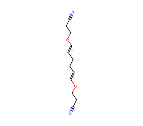 N#CCCO/C=C/CC/C=C/OCCC#N